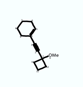 COC1(C#CC2=CCCCC2)CCC1